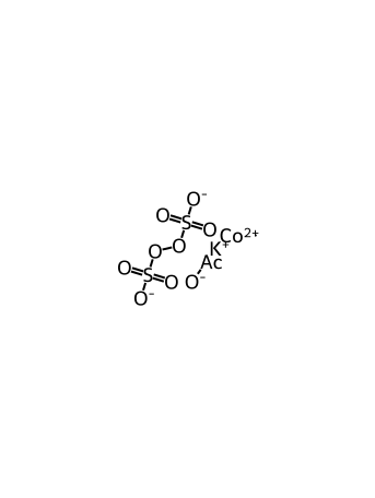 CC(=O)[O-].O=S(=O)([O-])OOS(=O)(=O)[O-].[Co+2].[K+]